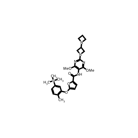 COc1nc(N2CC(N3CCC3)C2)nc(OC)c1NC(=O)c1ccc(Oc2cc([Si](C)(C)C)ccc2C)o1